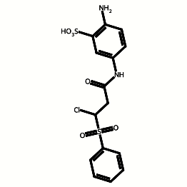 Nc1ccc(NC(=O)CC(Cl)S(=O)(=O)c2ccccc2)cc1S(=O)(=O)O